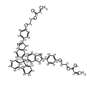 C=CC(=O)OCCOc1ccc(C2=Nc3ccc(C4(c5ccc6c(c5)CC(c5ccc(OCCOC(=O)C=C)cc5)=N6)c5ccccc5-c5ccccc54)cc3C2)cc1